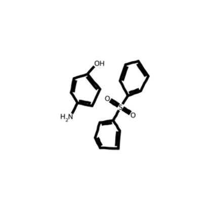 Nc1ccc(O)cc1.O=S(=O)(c1ccccc1)c1ccccc1